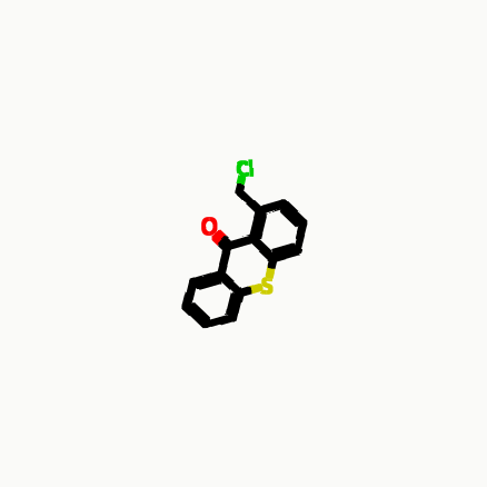 O=c1c2ccccc2sc2cccc(CCl)c12